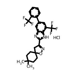 CC1(C)CCC2(CC1)CC(c1nc3cc(-c4ccccc4C(F)(F)F)cc(C(F)(F)F)c3[nH]1)=NO2.Cl